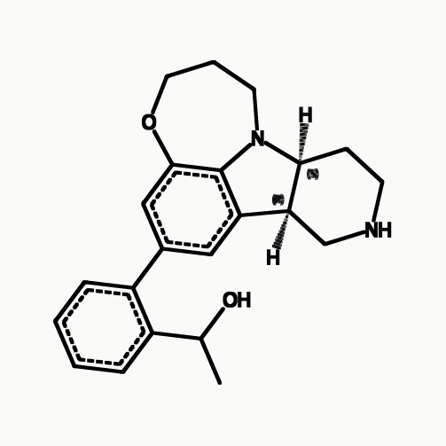 CC(O)c1ccccc1-c1cc2c3c(c1)[C@@H]1CNCC[C@@H]1N3CCCO2